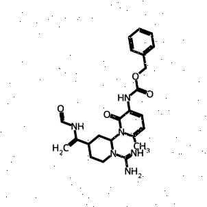 C=C(NC=O)C1CCN(C(=N)N)C(n2c(C)ccc(NC(=O)OCc3ccccc3)c2=O)C1